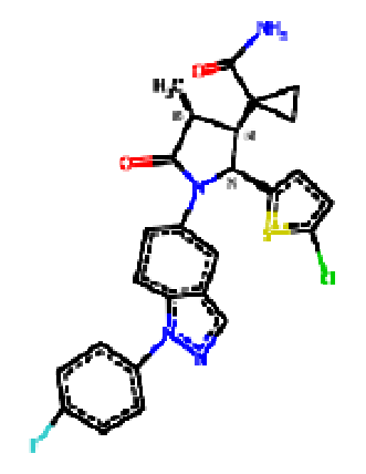 C[C@@H]1C(=O)N(c2ccc3c(cnn3-c3ccc(F)cc3)c2)[C@H](c2ccc(Cl)s2)[C@@H]1C1(C(N)=O)CC1